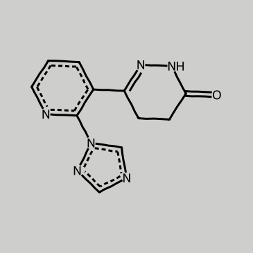 O=C1CCC(c2cccnc2-n2cncn2)=NN1